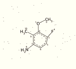 COc1c(F)ccc(N)c1C